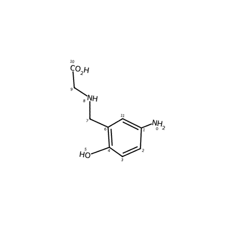 Nc1ccc(O)c(CNCC(=O)O)c1